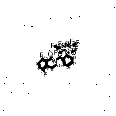 O=C1c2c(F)ccc(F)c2CCN1Cc1ccccc1N(S(=O)(=O)C(F)(F)F)S(=O)(=O)C(F)(F)F